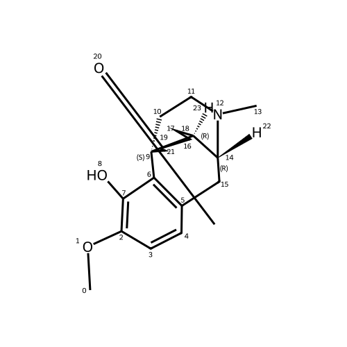 COc1ccc2c(c1O)[C@]13CCN(C)[C@H](C2)[C@@H]1CCC(=O)C3